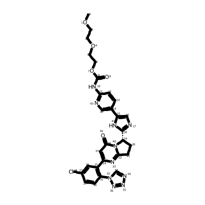 COCCOCCOC(=O)Nc1ccc(-c2cnc([C@@H]3CCc4nc(-c5cc(Cl)ccc5-n5cnnn5)cc(=O)n43)[nH]2)cn1